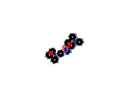 O=C1N(c2ccc(N(c3ccccc3)c3ccccc3-c3ccccc3)cc2)CCN1c1ccc(N(c2ccccc2)c2ccccc2-c2ccccc2)cc1